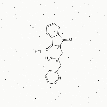 Cl.N[C@@H](Cc1ccccn1)CN1C(=O)c2ccccc2C1=O